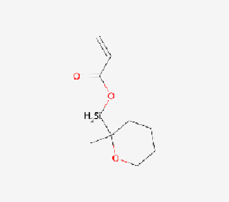 C=CC(=O)O[SiH2]C1(C)CCCCO1